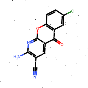 N#Cc1cc2c(=O)c3cc(Cl)ccc3oc2nc1N